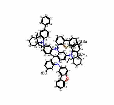 CC(C)(C)c1ccc2c(c1)N(c1ccc3oc4ccccc4c3c1)c1cc(N3c4ccc(C(C)(C)C)cc4C4(C)CCCCC34C)cc3c1B2c1ccc(N2c4ccc(-c5ccccc5)cc4C4(C)CCCCC24C)cc1N3c1cccc2c1sc1ccccc12